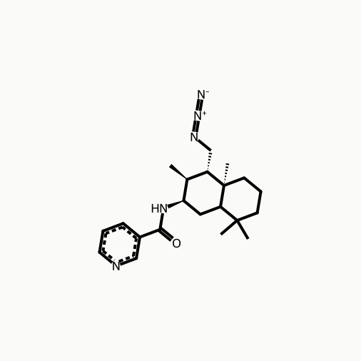 C[C@@H]1[C@H](NC(=O)c2cccnc2)CC2C(C)(C)CCC[C@]2(C)[C@H]1CN=[N+]=[N-]